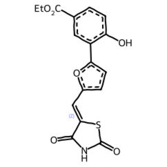 CCOC(=O)c1ccc(O)c(-c2ccc(/C=C3\SC(=O)NC3=O)o2)c1